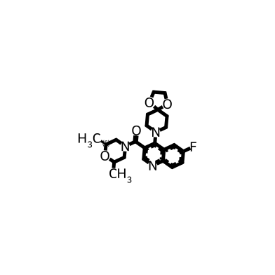 CC1CN(C(=O)c2cnc3ccc(F)cc3c2N2CCC3(CC2)OCCO3)C[C@H](C)O1